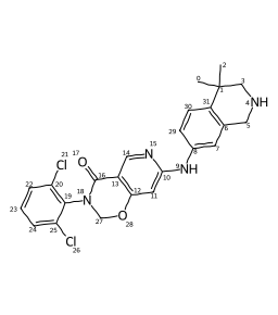 CC1(C)CNCc2cc(Nc3cc4c(cn3)C(=O)N(c3c(Cl)cccc3Cl)CO4)ccc21